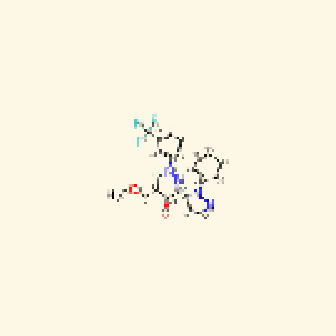 COCc1cn(-c2cccc(C(F)(F)F)c2)nc(-c2ccnn2-c2ccccc2)c1=O